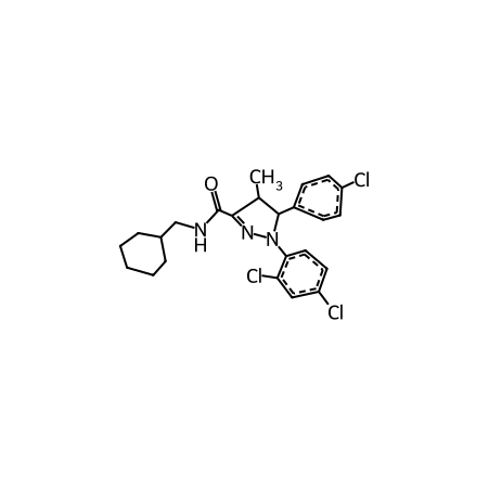 CC1C(C(=O)NCC2CCCCC2)=NN(c2ccc(Cl)cc2Cl)C1c1ccc(Cl)cc1